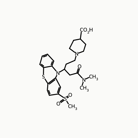 CN(C)C(=O)CC(CCN1CCC(C(=O)O)CC1)N1c2ccccc2Sc2ccc(S(C)(=O)=O)cc21